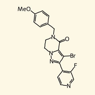 COc1ccc(CN2CCn3nc(-c4ccncc4F)c(Br)c3C2=O)cc1